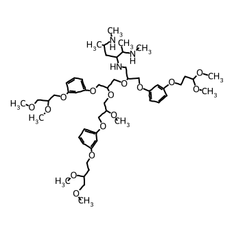 CNC(C)CC(NCC(COc1cccc(OCCC(OC)OC)c1)OCC(COc1cccc(OCC(COC)OC)c1)OCC(COc1cccc(OCCC(COC)OC)c1)OC)C(C)NC